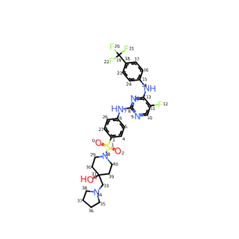 O=S(=O)(c1ccc(Nc2ncc(F)c(Nc3ccc(C(F)(F)F)cc3)n2)cc1)N1CCC(O)(CN2CCCC2)CC1